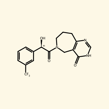 O=C([C@H](O)c1cccc(C(F)(F)F)c1)N1CCCc2nc[nH]c(=O)c2C1